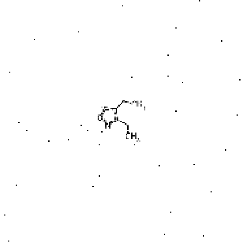 CCc1[c]onc1CC